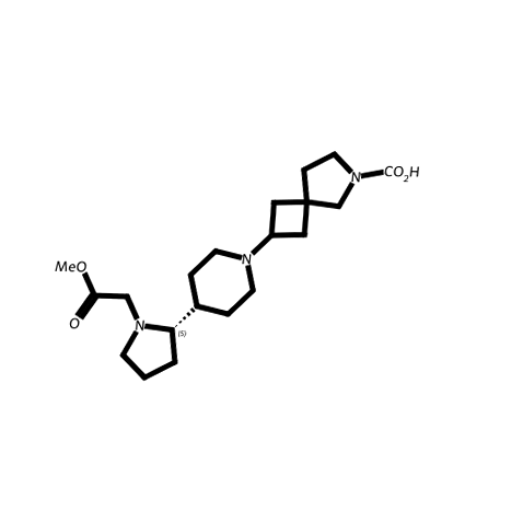 COC(=O)CN1CCC[C@H]1C1CCN(C2CC3(CCN(C(=O)O)C3)C2)CC1